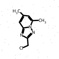 Cc1cc(C)n2nc(CCl)nc2c1